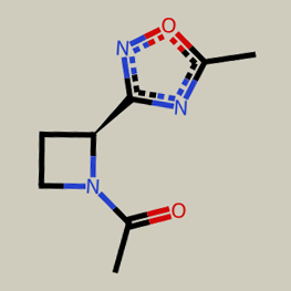 CC(=O)N1CC[C@H]1c1noc(C)n1